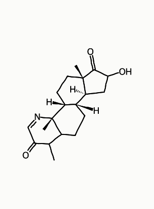 CC1C(=O)C=N[C@@]2(C)C1CC[C@@H]1[C@H]2CC[C@]2(C)C(=O)C(O)C[C@@H]12